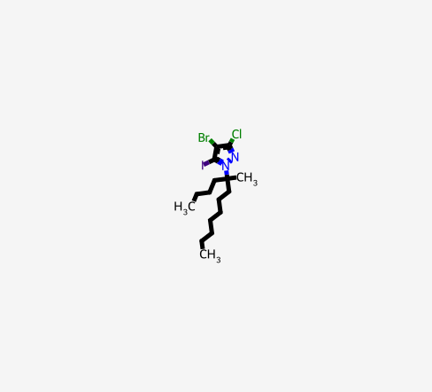 CCCCCCCC(C)(CCCC)n1nc(Cl)c(Br)c1I